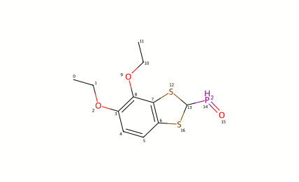 CCOc1ccc2c(c1OCC)SC([PH2]=O)S2